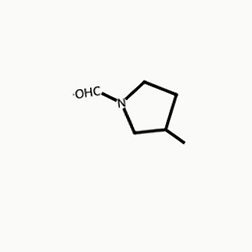 CC1CCN([C]=O)C1